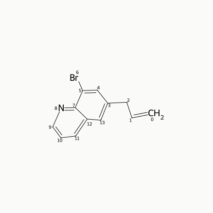 C=CCc1cc(Br)c2ncccc2c1